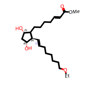 CCOCCCCCC/C=C/[C@@H]1C(CCCCC=CC(=O)OC)[C@@H](O)C[C@H]1O